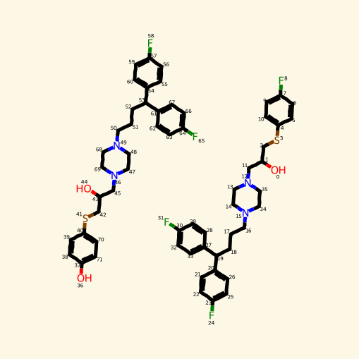 OC(CSc1ccc(F)cc1)CN1CCN(CCCC(c2ccc(F)cc2)c2ccc(F)cc2)CC1.Oc1ccc(SCC(O)CN2CCN(CCCC(c3ccc(F)cc3)c3ccc(F)cc3)CC2)cc1